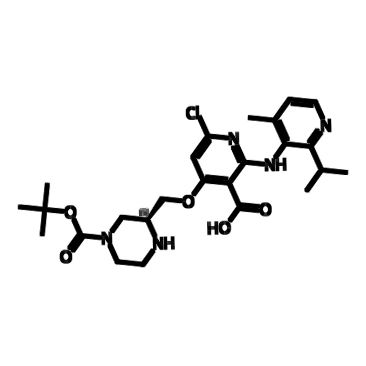 Cc1ccnc(C(C)C)c1Nc1nc(Cl)cc(OC[C@@H]2CN(C(=O)OC(C)(C)C)CCN2)c1C(=O)O